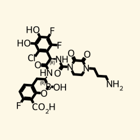 NCCCN1CCN(C(=O)N[C@@H](C(=O)N[C@H]2Cc3ccc(F)c(C(=O)O)c3OB2O)c2c(F)c(F)c(O)c(O)c2Cl)C(=O)C1=O